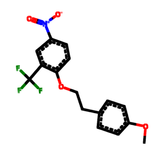 COc1ccc(CCOc2ccc([N+](=O)[O-])cc2C(F)(F)F)cc1